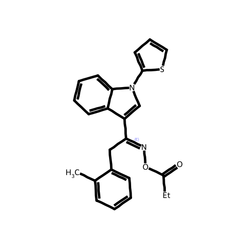 CCC(=O)O/N=C(\Cc1ccccc1C)c1cn(-c2cccs2)c2ccccc12